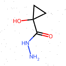 NNC(=O)C1(O)CC1